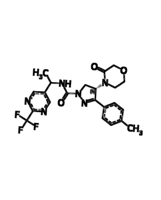 Cc1ccc(C2=NN(C(=O)NC(C)c3cnc(C(F)(F)F)nc3)C[C@@H]2N2CCOCC2=O)cc1